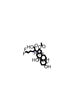 CC(=O)O[C@H]1C[C@@]2(C)[C@@H](C[C@@H](O)[C@H]3[C@@]4(C)CC[C@@H](O)[C@@H](C)[C@@H]4CC[C@@]32C)/C1=C(\CCC=C(F)F)C(=O)O